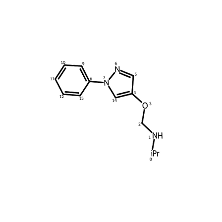 CC(C)NCOc1cnn(-c2ccccc2)c1